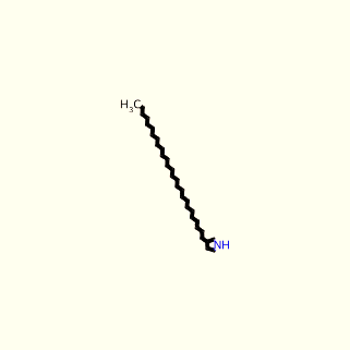 CCCCCCCCCCCCCCCCCCCCCCCCCCCC1CCNC1